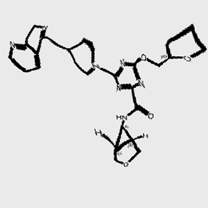 O=C(N[C@H]1[C@@H]2COC[C@@H]21)c1nc(OC[C@H]2CCCO2)nc(N2CCC(C3=NCc4ncccc43)CC2)n1